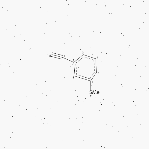 [C]#Cc1cccc(SC)c1